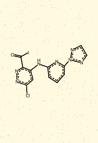 O=C(I)c1nnc(Cl)cc1Nc1cccc(-n2nccn2)n1